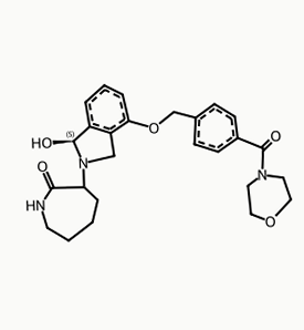 O=C1NCCCCC1N1Cc2c(OCc3ccc(C(=O)N4CCOCC4)cc3)cccc2[C@@H]1O